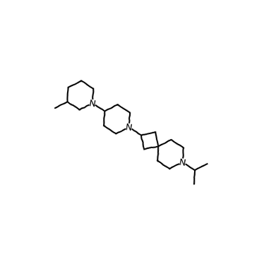 CC1CCCN(C2CCN(C3CC4(CCN(C(C)C)CC4)C3)CC2)C1